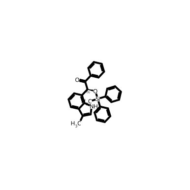 Cc1c[nH]c2c([C@H](O[Si](C)(c3ccccc3)c3ccccc3)C(=O)c3ccccc3)cccc12